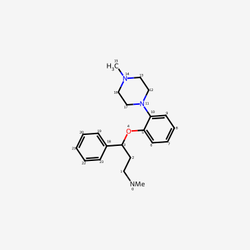 CNCCC(Oc1ccccc1N1CCN(C)CC1)c1ccccc1